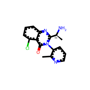 Cc1ncccc1-n1c([C@H](C)N)nc2cccc(Cl)c2c1=O